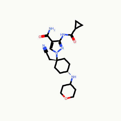 N#CC[C@]1(n2cc(C(N)=O)c(NC(=O)C3CC3)n2)CC[C@@H](NC2CCOCC2)CC1